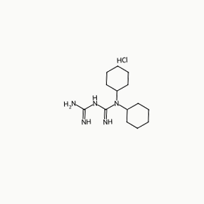 Cl.N=C(N)NC(=N)N(C1CCCCC1)C1CCCCC1